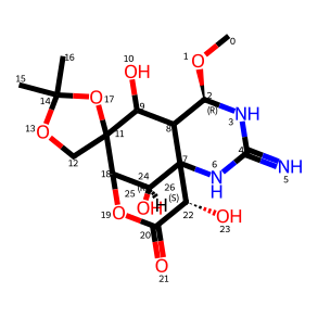 CO[C@H]1NC(=N)NC23C1C(O)C1(COC(C)(C)O1)C(OC(=O)[C@H]2O)[C@@H]3O